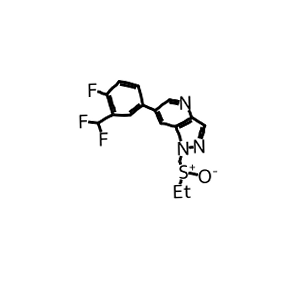 CC[S+]([O-])Cn1ncc2ncc(-c3ccc(F)c(C(F)F)c3)cc21